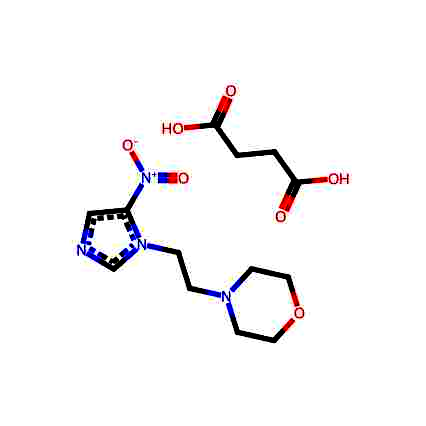 O=C(O)CCC(=O)O.O=[N+]([O-])c1cncn1CCN1CCOCC1